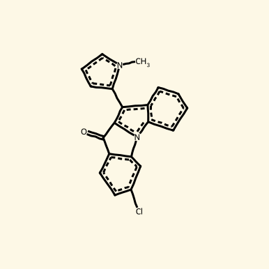 Cn1cccc1-c1c2n(c3ccccc13)-c1cc(Cl)ccc1C2=O